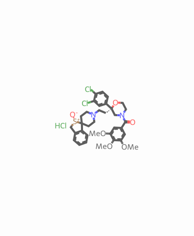 COc1cc(C(=O)N2CCO[C@](CCN3CCC4(CC3)c3ccccc3C[S@+]4[O-])(c3ccc(Cl)c(Cl)c3)C2)cc(OC)c1OC.Cl